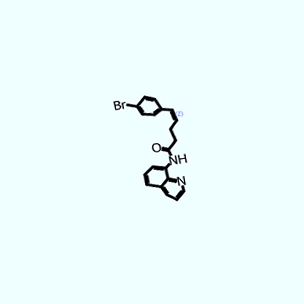 O=C(CC/C=C\c1ccc(Br)cc1)Nc1cccc2cccnc12